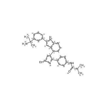 CCn1cc(-c2ccnc3[nH]c(-c4cccc(C(C)(C)N)c4)cc23)c(-c2ccc(NC(=O)N(C)C)cc2)n1